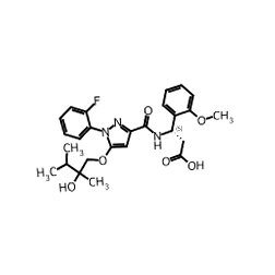 COc1ccccc1[C@H](CC(=O)O)NC(=O)c1cc(OCC(C)(O)C(C)C)n(-c2ccccc2F)n1